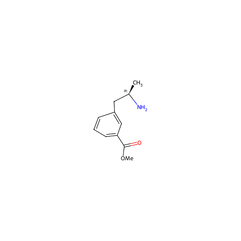 COC(=O)c1cccc(C[C@@H](C)N)c1